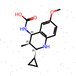 COc1ccc2c(c1)[C@H](NC(=O)O)[C@H](C)[C@@H](C1CC1)N2